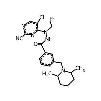 CC(C)CN(NC(=O)c1cccc(CN2C(C)CCCC2C)c1)c1nc(C#N)ncc1Cl